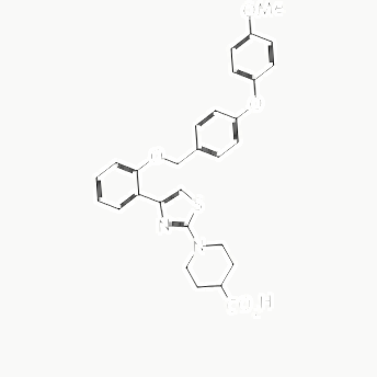 COc1ccc(Oc2ccc(COc3ccccc3-c3csc(N4CCC(C(=O)O)CC4)n3)cc2)cc1